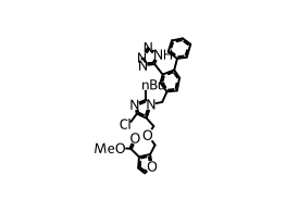 CCCCc1nc(Cl)c(COCc2occc2C(=O)OC)n1Cc1ccc(-c2ccccc2)c(-c2nnn[nH]2)c1